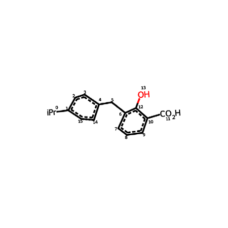 CC(C)c1ccc(Cc2cccc(C(=O)O)c2O)cc1